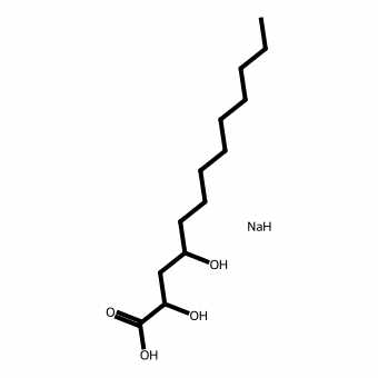 CCCCCCCCCC(O)CC(O)C(=O)O.[NaH]